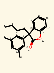 CCCCC1(c2cc(C)cc(C)c2)C(=O)Oc2ccccc21